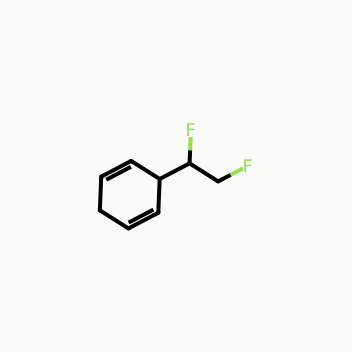 FCC(F)C1C=CCC=C1